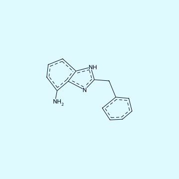 Nc1cccc2[nH]c(Cc3ccccc3)nc12